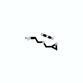 C=CCOCC1CO1.O=C=O